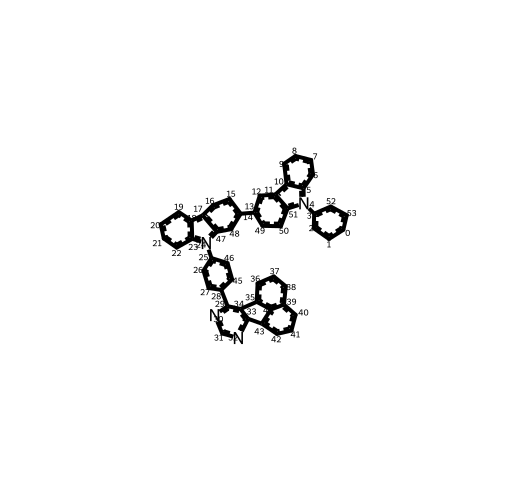 c1ccc(-n2c3ccccc3c3cc(-c4ccc5c6ccccc6n(-c6ccc(-c7ncnc8c7-c7cccc9cccc-8c79)cc6)c5c4)ccc32)cc1